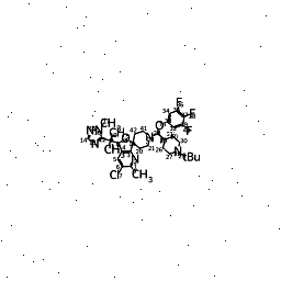 Cc1nc2c(cc1Cl)C(C(C)(C)c1ncnn1C)OC21CCN(C(=O)[C@@H]2CCN(C(C)(C)C)C[C@H]2c2ccc(F)c(F)c2F)CC1